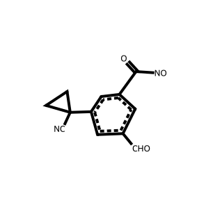 N#CC1(c2cc(C=O)cc(C(=O)N=O)c2)CC1